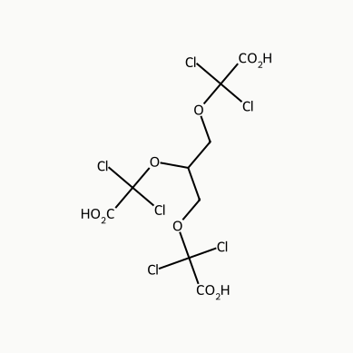 O=C(O)C(Cl)(Cl)OCC(COC(Cl)(Cl)C(=O)O)OC(Cl)(Cl)C(=O)O